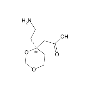 NCC[C@]1(CC(=O)O)CCOCO1